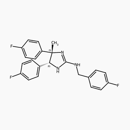 C[C@@]1(c2ccc(F)cc2)N=C(NCc2ccc(F)cc2)N[C@@H]1c1ccc(F)cc1